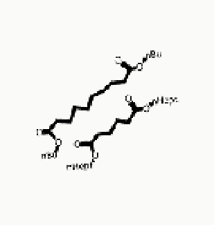 CCCCCCCOC(=O)CCCCC(=O)OCCCCCCC.CCCCOC(=O)CCCCCCCCC(=O)OCCCC